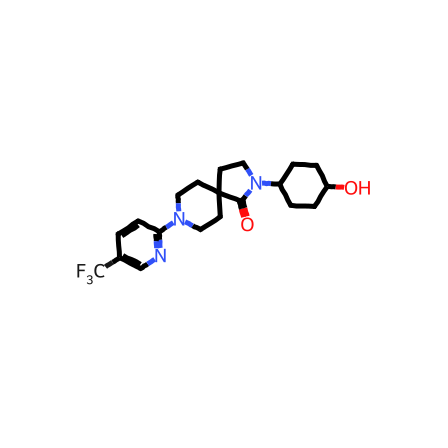 O=C1N(C2CCC(O)CC2)CCC12CCN(c1ccc(C(F)(F)F)cn1)CC2